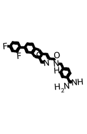 N=C(N)c1ccc(CNC(=O)c2cc3c(cn2)c2oc3c3ccc(-c4ccc(F)cc4F)cc32)cc1